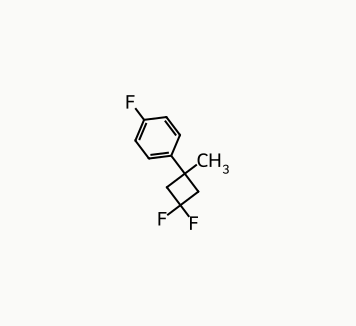 CC1(c2ccc(F)cc2)CC(F)(F)C1